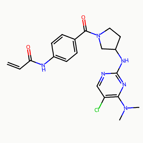 C=CC(=O)Nc1ccc(C(=O)N2CCC(Nc3ncc(Cl)c(N(C)C)n3)C2)cc1